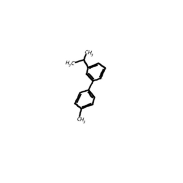 Cc1ccc(-c2[c]ccc(C(C)C)c2)cc1